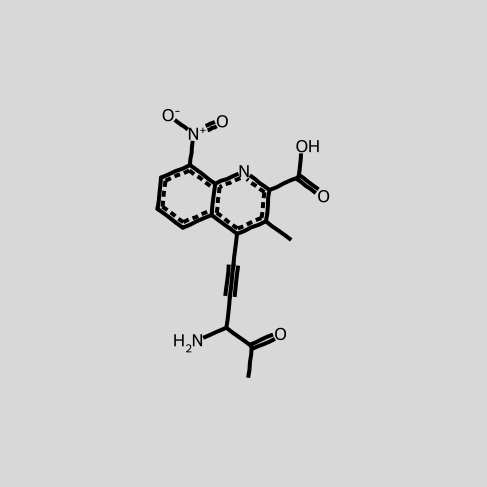 CC(=O)C(N)C#Cc1c(C)c(C(=O)O)nc2c([N+](=O)[O-])cccc12